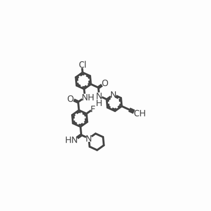 C#Cc1ccc(NC(=O)c2cc(Cl)ccc2NC(=O)c2ccc(C(=N)N3CCCCC3)cc2F)nc1